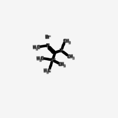 CN=C(N(C)C)[N+](C)(C)C.[Br-]